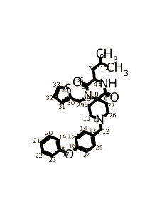 CC(C)CC1NC(=O)C2(CCN(Cc3ccc(Oc4ccccc4)cc3)CC2)N(Cc2cccs2)C1=O